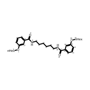 CCCCCCOc1cccc(C(=O)NCCCCCCNC(=O)c2cccc(OCCCCCC)c2)c1